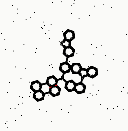 c1ccc(-c2cccc3cccc(-c4ccc(N(c5ccc(-c6ccc7c(c6)sc6ccccc67)cc5)c5ccc6cccc(-n7c8ccccc8c8ccccc87)c6c5)cc4)c23)cc1